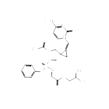 CCCC(CCC)COC(=O)[C@H](C)NP(=O)(OC[C@@]1(COC(=O)C(C)C)C/C1=C/n1ccc(N)nc1=O)Oc1ccccc1